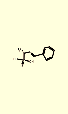 C[C@H](/N=C/c1ccccc1)P(=O)(O)O